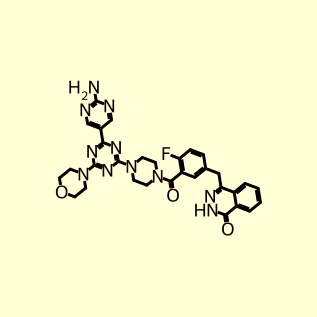 Nc1ncc(-c2nc(N3CCOCC3)nc(N3CCN(C(=O)c4cc(Cc5n[nH]c(=O)c6ccccc56)ccc4F)CC3)n2)cn1